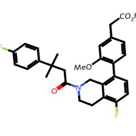 COc1cc(CC(=O)O)ccc1-c1ccc(F)c2c1CN(C(=O)CC(C)(C)c1ccc(F)cc1)CC2